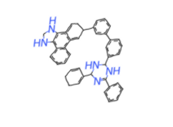 C1=CC(C2N=C(c3ccccc3)NC(c3cccc(-c4cccc(C5C=c6c(c7c(c8ccccc68)NCN7)=CC5)c4)c3)N2)=CCC1